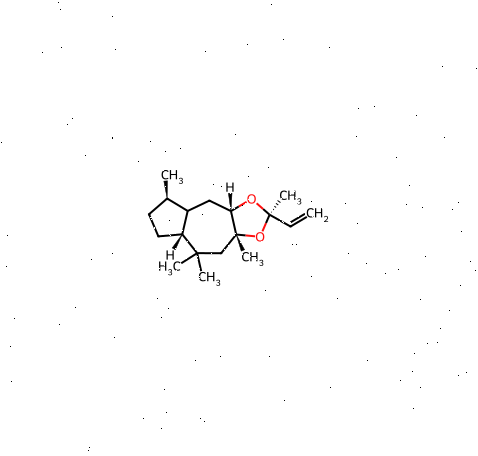 C=C[C@]1(C)O[C@H]2CC3[C@H](C)CC[C@H]3C(C)(C)C[C@@]2(C)O1